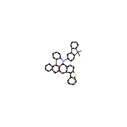 CC1(C)c2ccccc2-c2cc(N(c3ccccc3-c3cccc4ccccc34)c3cccc4c3ccc3sc5ccccc5c34)ccc21